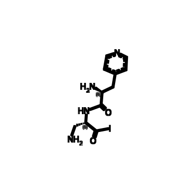 NC[C@H](NC(=O)[C@@H](N)Cc1ccncc1)C(=O)I